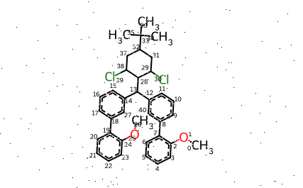 COc1ccccc1-c1cccc(C(c2cccc(-c3ccccc3OC)c2)C2C(Cl)CC(C(C)(C)C)CC2Cl)c1